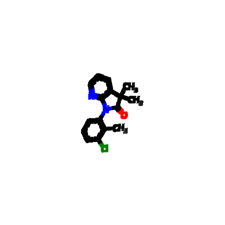 Cc1c(Cl)cccc1N1C(=O)C(C)(C)c2cccnc21